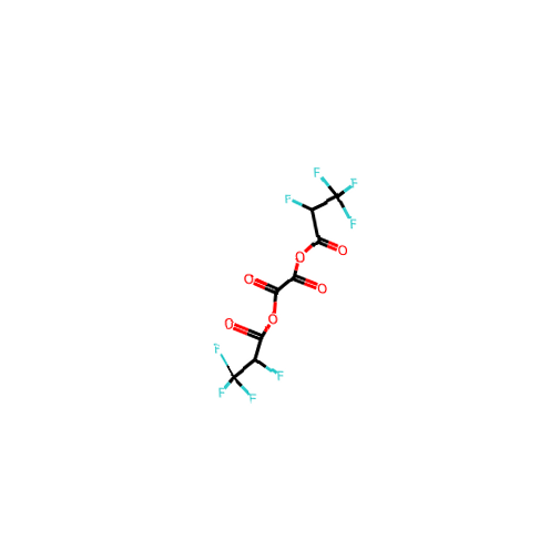 O=C(OC(=O)C(F)C(F)(F)F)C(=O)OC(=O)C(F)C(F)(F)F